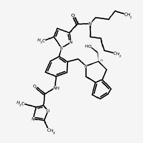 CCCCN(CCCC)C(=O)c1cc(C)n(-c2ccc(NC(=O)c3oc(C)nc3C)cc2CN2Cc3ccccc3C[C@H]2CO)n1